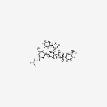 CC(C)COc1cc(F)cc(-c2ccc(C(=O)NS(=O)(=O)c3cccc(N)n3)c(N3CCCC3c3ccccn3)n2)c1